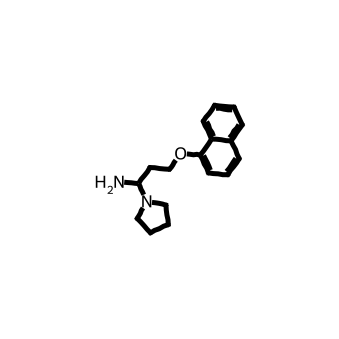 NC(CCOc1cccc2ccccc12)N1CCCC1